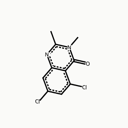 Cc1nc2cc(Cl)cc(Cl)c2c(=O)n1C